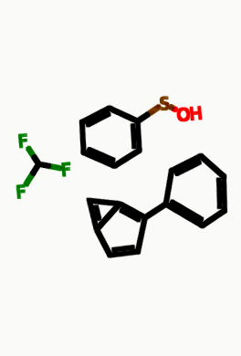 FC(F)F.OSc1ccccc1.c1ccc(-c2ccc3cc2-3)cc1